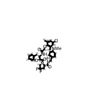 CNc1ccc(CNC(=O)[C@@H]2CC(F)(F)CN2C(=O)[C@@H](O)[C@H](Cc2ccccc2)NC(=O)COc2c(C)cc(Cl)cc2C)cc1